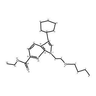 CCCCOCCn1cc(C2CCCCC2)c2ccc(C(=O)OCC)nc21